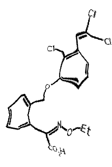 CCON=C(C(=O)O)c1ccccc1COc1cccc(C=C(Cl)Cl)c1Cl